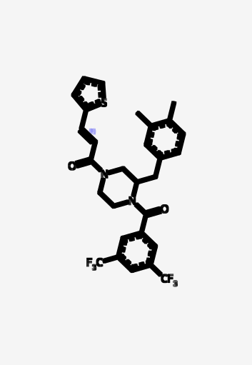 Cc1ccc(CC2CN(C(=O)/C=C/c3cccs3)CCN2C(=O)c2cc(C(F)(F)F)cc(C(F)(F)F)c2)cc1C